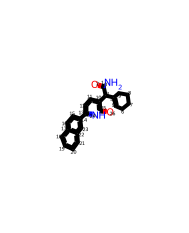 NC(=O)C(C1=CCCCC1)c1ccc(-c2ccc3ccccc3c2)[nH]c1=O